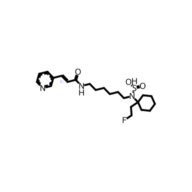 O=C(/C=C/c1cccnc1)NCCCCCCN([SH](=O)=O)C1(CCF)CCCCC1